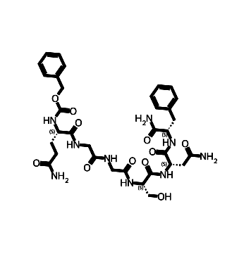 NC(=O)CC[C@H](NC(=O)OCc1ccccc1)C(=O)NCC(=O)NCC(=O)N[C@@H](CO)C(=O)N[C@@H](CC(N)=O)C(=O)N[C@@H](Cc1ccccc1)C(N)=O